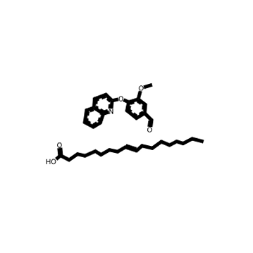 CCCCCCCC/C=C/CCCCCCCC(=O)O.COc1cc(C=O)ccc1Oc1ccc2ccccc2n1